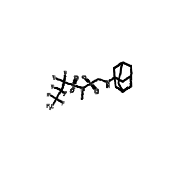 CN(S(=O)(=O)CNC12CC3CC(CC(C3)C1)C2)S(=O)(=O)C(F)(F)C(F)(F)C(F)(F)C(F)(F)F